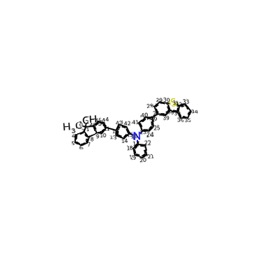 CC1(C)c2ccccc2-c2cc(-c3ccc(N(c4ccccc4)c4ccc(-c5ccc6sc7ccccc7c6c5)cc4)cc3)ccc21